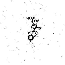 O=C(Nc1ccc(Cl)cc1Cl)c1nn(CP(=O)(O)O)nc1Br